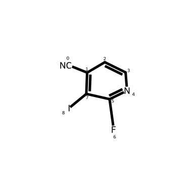 N#Cc1ccnc(F)c1I